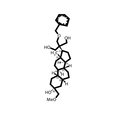 COC[C@@]1(O)CC[C@H]2[C@H](CC[C@@H]3[C@@H]2CC[C@]2(C)[C@@H](C(CO)(CO)COCc4ccccc4)CC[C@@H]32)C1